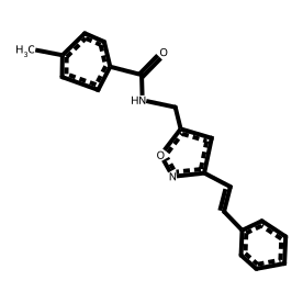 Cc1ccc(C(=O)NCc2cc(C=Cc3ccccc3)no2)cc1